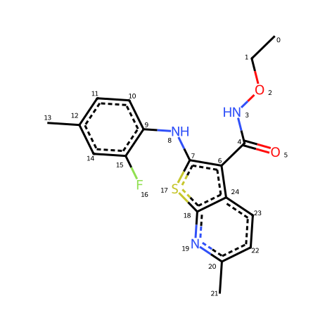 CCONC(=O)c1c(Nc2ccc(C)cc2F)sc2nc(C)ccc12